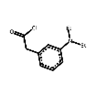 CCN(CC)c1cccc(CC(=O)Cl)c1